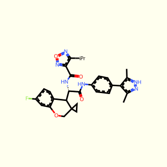 Cc1n[nH]c(C)c1-c1ccc(NC(=O)[C@@H](NC(=O)c2nonc2C(C)C)C2c3ccc(F)cc3OCC23CC3)cc1